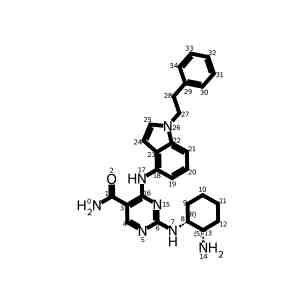 NC(=O)c1cnc(N[C@@H]2CCCC[C@@H]2N)nc1Nc1cccc2c1ccn2CCc1ccccc1